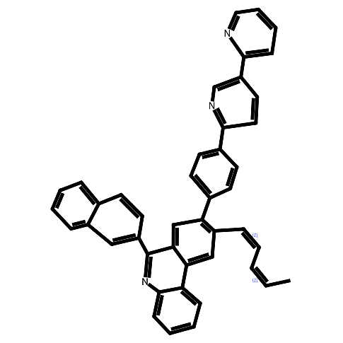 C/C=C\C=C/c1cc2c(cc1-c1ccc(-c3ccc(-c4ccccn4)cn3)cc1)c(-c1ccc3ccccc3c1)nc1ccccc12